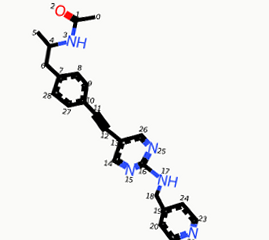 CC(=O)NC(C)Cc1ccc(C#Cc2cnc(NCc3ccncc3)nc2)cc1